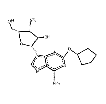 Nc1nc(OC2CCCC2)nc2c1ncn2[C@@H]1O[C@H](CO)[C@H](C(F)(F)F)[C@H]1O